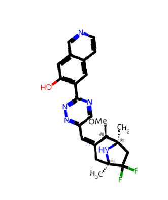 CO[C@@H]1/C(=C\c2cnc(-c3cc4ccncc4cc3O)nn2)C[C@@]2(C)N[C@]1(C)CC2(F)F